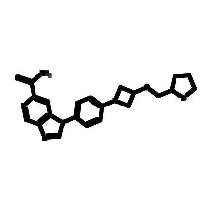 NC(=O)c1cc2c(cn1)ncn2-c1ccc(N2CC(OCC3CCCO3)C2)cc1